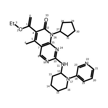 C=C(OCC)c1c(C)c2cnc(NC3CCCCN3c3cccnc3)nc2n(C2CCCC2)c1=O